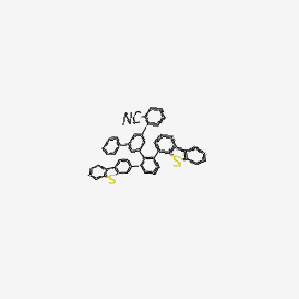 N#Cc1ccccc1-c1cc(-c2ccccc2)cc(-c2c(-c3ccc4c(c3)sc3ccccc34)cccc2-c2cccc3c2sc2ccccc23)c1